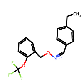 CCc1ccc(/[C]=N\OCc2ccccc2OC(F)(F)F)cc1